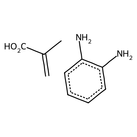 C=C(C)C(=O)O.Nc1ccccc1N